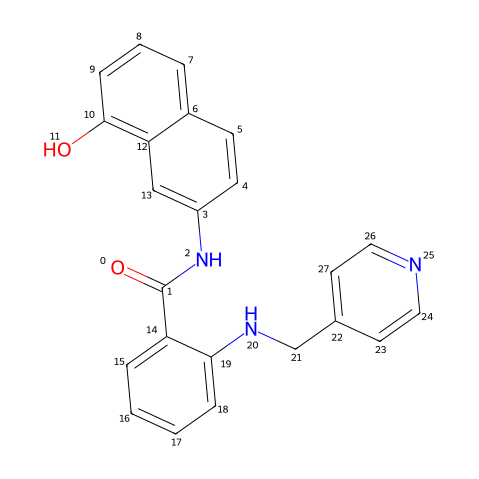 O=C(Nc1ccc2cccc(O)c2c1)c1ccccc1NCc1ccncc1